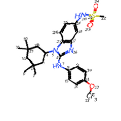 CC1(C)CC(n2c(Nc3ccc(OC(F)(F)F)cc3)nc3cc(NS(C)(=O)=O)ccc32)CC(C)(C)C1